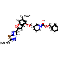 COc1cc(OC[C@H]2CCCN(C(=O)OCc3ccccc3)C2)c2cc(-c3cn4nc(OC)sc4n3)oc2c1